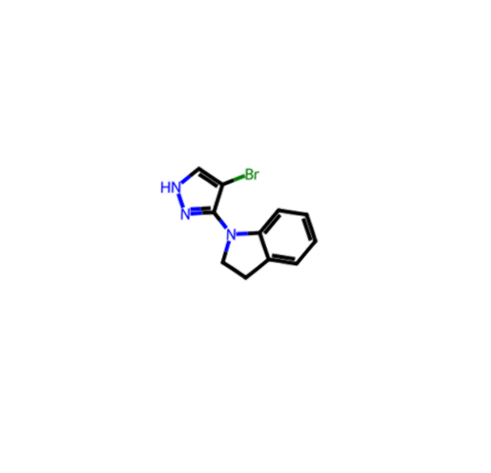 Brc1c[nH]nc1N1CCc2ccccc21